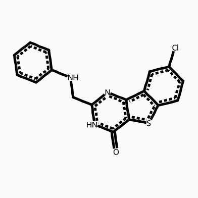 O=c1[nH]c(CNc2ccccc2)nc2c1sc1ccc(Cl)cc12